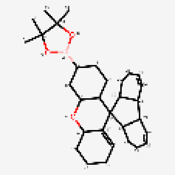 CC1(C)OB(C2CCC3C(C2)OC2CCCC=C2C32C3CCC=CC3C3C=CCCC32)OC1(C)C